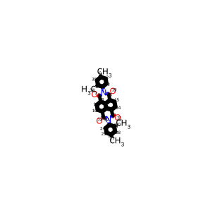 Cc1ccc(N2C(=O)c3ccc4c5c(ccc(c35)C2=O)C(=O)N(c2ccc(C)cc2C)C4=O)c(C)c1